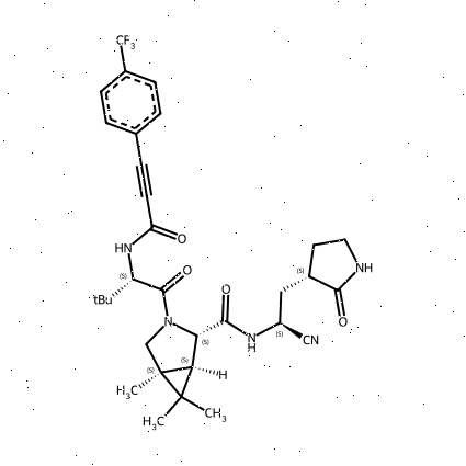 CC(C)(C)[C@H](NC(=O)C#Cc1ccc(C(F)(F)F)cc1)C(=O)N1C[C@@]2(C)[C@@H]([C@H]1C(=O)N[C@H](C#N)C[C@@H]1CCNC1=O)C2(C)C